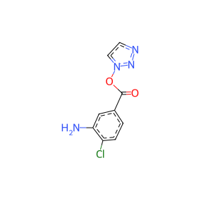 Nc1cc(C(=O)On2ccnn2)ccc1Cl